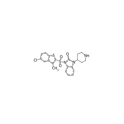 Cc1c(S(=O)(=O)n2c(=O)n(C3CCNCC3)c3ccccc32)sc2ccc(Cl)cc12